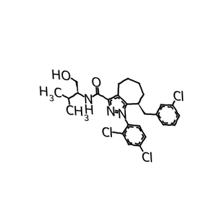 CC(C)[C@@H](CO)NC(=O)c1nn(-c2ccc(Cl)cc2Cl)c2c1CCCC[C@H]2Cc1cccc(Cl)c1